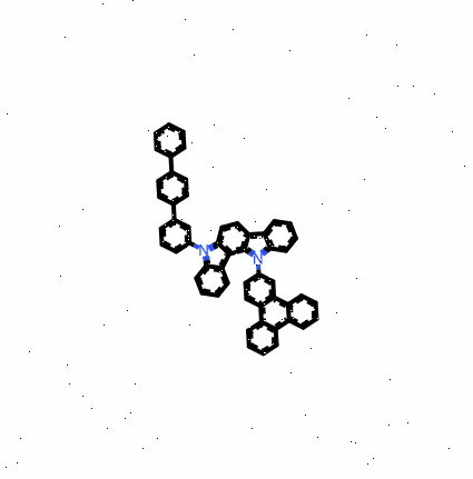 c1ccc(-c2ccc(-c3cccc(-n4c5ccccc5c5c4ccc4c6ccccc6n(-c6ccc7c8ccccc8c8ccccc8c7c6)c45)c3)cc2)cc1